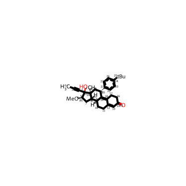 CC#C[C@@]1(O)[C@H](OC)C[C@H]2[C@@H]3CCC4=CC(=O)CCC4=C3[C@@H](c3ccc(C(C)(C)C)cc3)C[C@@]21C